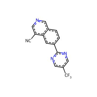 N#Cc1cncc2ccc(-c3ncc(C(F)(F)F)cn3)cc12